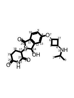 CC(C)N[C@H]1C[C@H](Oc2ccc3c(c2)C(O)N(C2CCC(=O)NC2=O)C3=O)C1